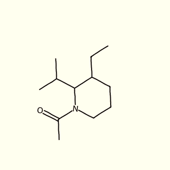 CCC1CCCN(C(C)=O)C1C(C)C